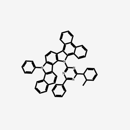 CC1C=CC=CC1c1nc(-c2ccccc2)nc(-n2c3c4ccccc4c4ccccc4c3c3ccc4c(c5ccc6ccccc6c5n4-c4ccccc4)c32)n1